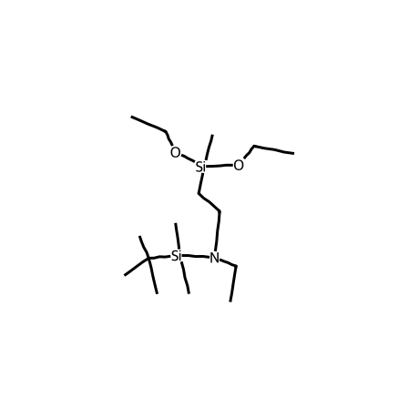 CCO[Si](C)(CCN(CC)[Si](C)(C)C(C)(C)C)OCC